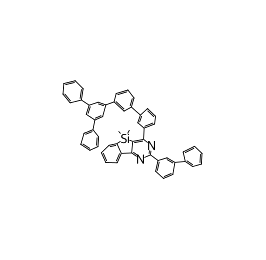 C[Si]1(C)c2ccccc2-c2nc(-c3cccc(-c4ccccc4)c3)nc(-c3cccc(-c4cccc(-c5cc(-c6ccccc6)cc(-c6ccccc6)c5)c4)c3)c21